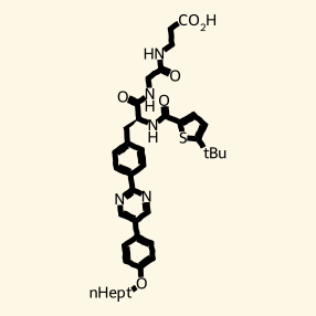 CCCCCCCOc1ccc(-c2cnc(-c3ccc(C[C@H](NC(=O)c4ccc(C(C)(C)C)s4)C(=O)NCC(=O)NCCC(=O)O)cc3)nc2)cc1